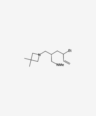 C=CC(CC)CC(CNC)CN1CC(C)(C)C1